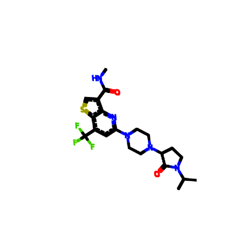 CNC(=O)c1csc2c(C(F)(F)F)cc(N3CCN(C4CCN(C(C)C)C4=O)CC3)nc12